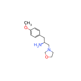 COc1ccc(C[C@H](N)CN2CCOC2)cc1